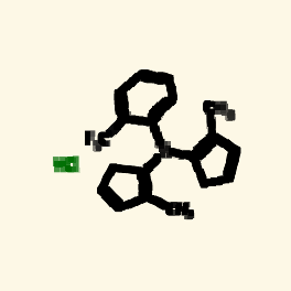 CC1=[C]([Ti]([C]2=C(C)C=CC2)[c]2ccccc2C(F)(F)F)CC=C1.Cl